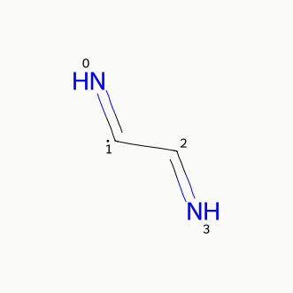 N=[C]C=N